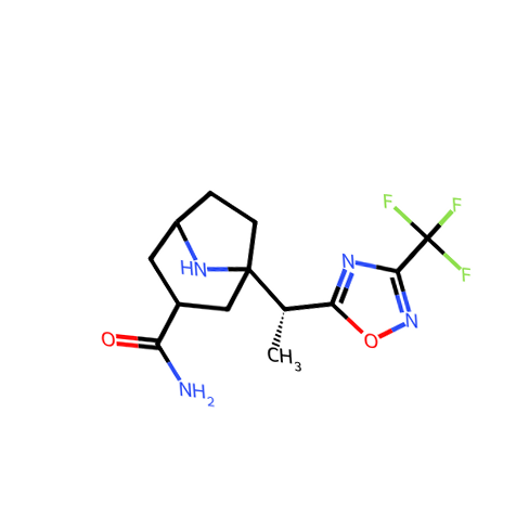 C[C@@H](c1nc(C(F)(F)F)no1)C12CCC(CC(C(N)=O)C1)N2